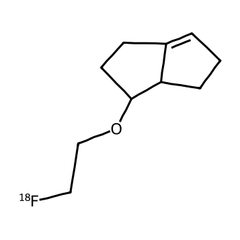 [18F]CCOC1CCC2=CCCC21